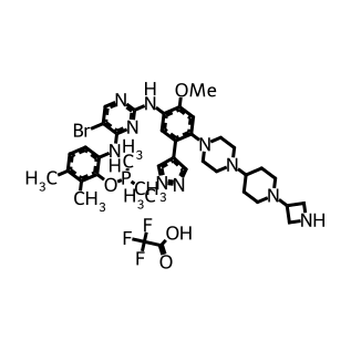 COc1cc(N2CCN(C3CCN(C4CNC4)CC3)CC2)c(-c2cnn(C)c2)cc1Nc1ncc(Br)c(Nc2ccc(C)c(C)c2OP(C)C)n1.O=C(O)C(F)(F)F